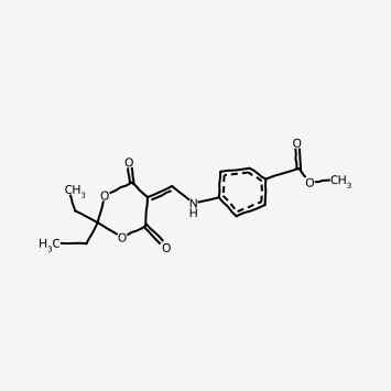 CCC1(CC)OC(=O)C(=CNc2ccc(C(=O)OC)cc2)C(=O)O1